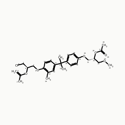 C=C(C)O[C@@H](CCl)COc1ccc(C(C)(C)c2ccc(OC[C@@H](COC)OC(C)=O)cc2)cc1C